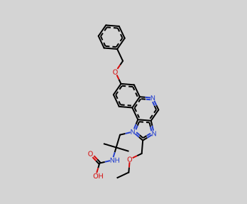 CCOCc1nc2cnc3cc(OCc4ccccc4)ccc3c2n1CC(C)(C)NC(=O)O